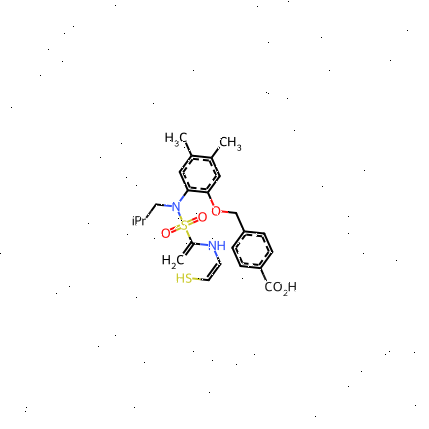 C=C(N/C=C\S)S(=O)(=O)N(CC(C)C)c1cc(C)c(C)cc1OCc1ccc(C(=O)O)cc1